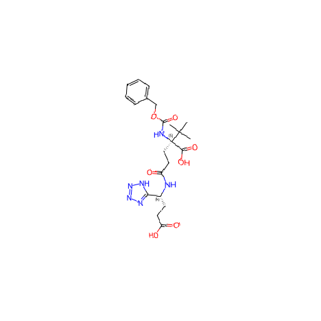 CC(C)(C)[C@](CCC(=O)N[C@H](CCC(=O)O)c1nnn[nH]1)(NC(=O)OCc1ccccc1)C(=O)O